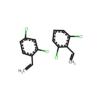 C=Cc1c(Cl)cccc1Cl.C=Cc1ccc(Cl)cc1Cl